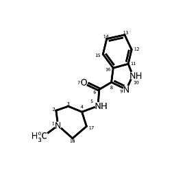 CN1CCC(NC(=O)c2n[nH]c3ccccc23)CC1